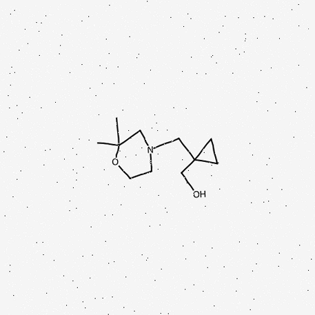 CC1(C)CN(CC2(CO)CC2)CCO1